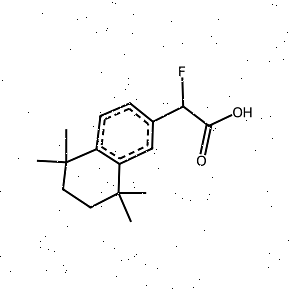 CC1(C)CCC(C)(C)c2cc(C(F)C(=O)O)ccc21